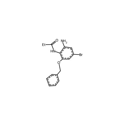 CCC(=O)Nc1c(N)cc(Br)cc1OCc1ccccc1